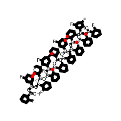 OB(OB(OB(OB(OB(OB(OB(OB(OB(OB(OB(OB(OB(OB(OB(O)c1ccccc1F)c1cc(F)cc(F)c1)c1ccccc1F)c1c(F)cccc1F)c1ccccc1F)c1cc(F)cc(F)c1)c1ccccc1F)c1ccccc1)c1ccccc1F)c1cc(F)cc(F)c1)c1ccccc1F)c1c(F)cccc1F)c1ccccc1F)c1cc(F)cc(F)c1)c1ccccc1F